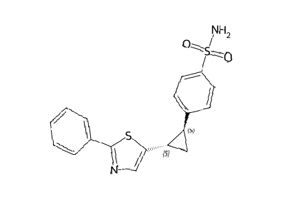 NS(=O)(=O)c1ccc([C@H]2C[C@@H]2c2cnc(-c3ccccc3)s2)cc1